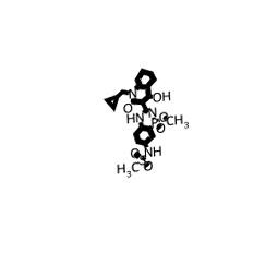 COP1(=O)N=C(c2c(O)c3ccccc3n(CC3CC3)c2=O)Nc2ccc(NS(C)(=O)=O)cc21